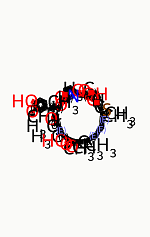 COC1C(=O)[C@H](C)C[C@H](C)/C=C/C=C/C=C(\C)C(SC)C[C@@H]2CC[C@@H](C)[C@@](O)(O2)C(=O)C(=O)N2CCCC[C@H]2C(=O)O[C@H]([C@H](C)C[C@@H]2CCC(O)[C@H](OC)C2)CC(=O)[C@H](C)/C=C(\C)[C@H]1O